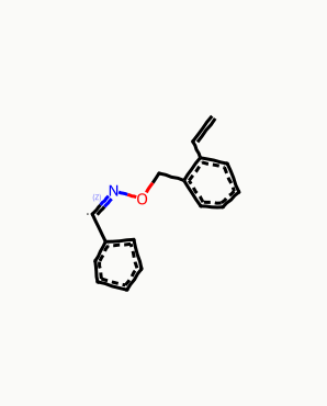 C=Cc1ccccc1CO/N=[C]\c1ccccc1